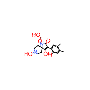 Cc1cc(C)c(C2=C(O)C3(CCN(O)CC3)N(OCO)C2=O)cc1C